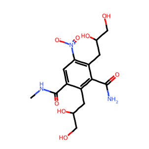 CNC(=O)c1cc([N+](=O)[O-])c(CC(O)CO)c(C(N)=O)c1CC(O)CO